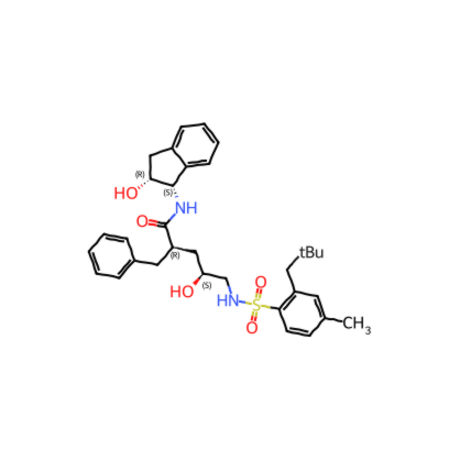 Cc1ccc(S(=O)(=O)NC[C@@H](O)C[C@@H](Cc2ccccc2)C(=O)N[C@H]2c3ccccc3C[C@H]2O)c(CC(C)(C)C)c1